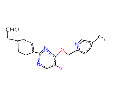 Cc1ccc(COc2nc(C3=CCC(CC=O)CC3)ncc2I)nc1